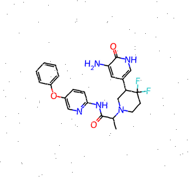 CC(C(=O)Nc1ccc(Oc2ccccc2)cn1)N1CCC(F)(F)C(c2c[nH]c(=O)c(N)c2)C1